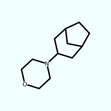 C1CN(C2CC3CCC(C3)C2)CCO1